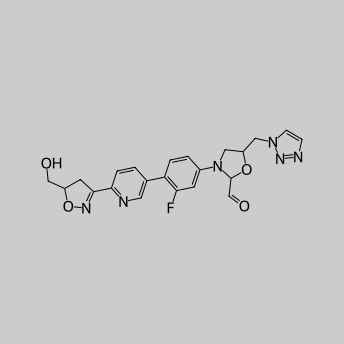 O=CC1OC(Cn2ccnn2)CN1c1ccc(-c2ccc(C3=NOC(CO)C3)nc2)c(F)c1